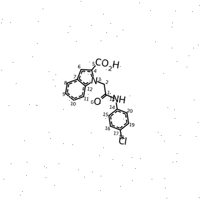 O=C(Cn1c(C(=O)O)cc2ccccc21)Nc1ccc(Cl)cc1